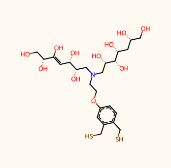 OC[C@@H](O)C[C@@H](O)[C@H](O)[C@@H](O)CN(CCOc1ccc(CS)c(CS)c1)C[C@H](O)[C@@H](O)C=C(O)[C@H](O)CO